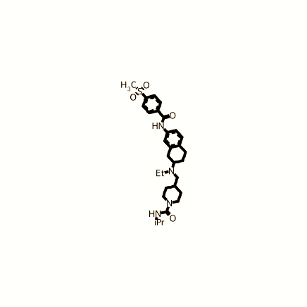 CCN(CC1CCN(C(=O)NC(C)C)CC1)C1CCc2ccc(NC(=O)c3ccc(S(C)(=O)=O)cc3)cc2C1